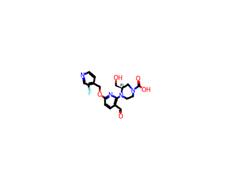 O=Cc1ccc(OCc2ccncc2F)nc1N1CCN(C(=O)O)C[C@@H]1CO